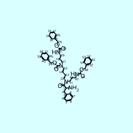 NC(Cc1ccccc1)C(=O)N(CCCCN(CCCNC(=O)OCc1ccccc1)C(=O)OCc1ccccc1)CCCNC(=O)OCc1ccccc1